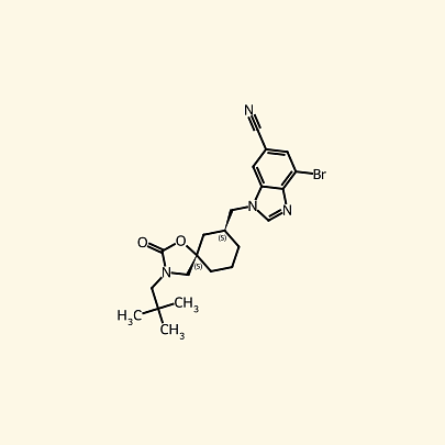 CC(C)(C)CN1C[C@@]2(CCC[C@H](Cn3cnc4c(Br)cc(C#N)cc43)C2)OC1=O